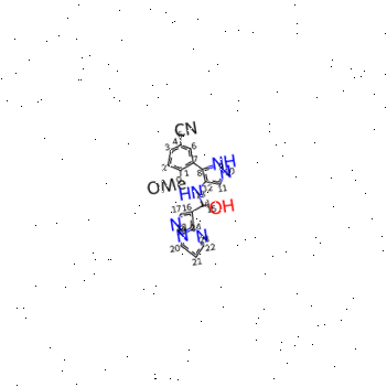 COc1ccc(C#N)cc1-c1[nH]ncc1NC(O)c1cnn2cccnc12